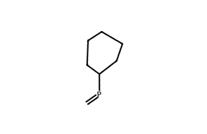 C=PC1CCCCC1